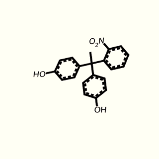 CC(c1ccc(O)cc1)(c1ccc(O)cc1)c1ccccc1[N+](=O)[O-]